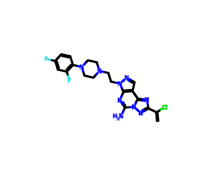 C=C(Cl)c1nc2c3cnn(CCN4CCN(c5ccc(F)cc5F)CC4)c3nc(N)n2n1